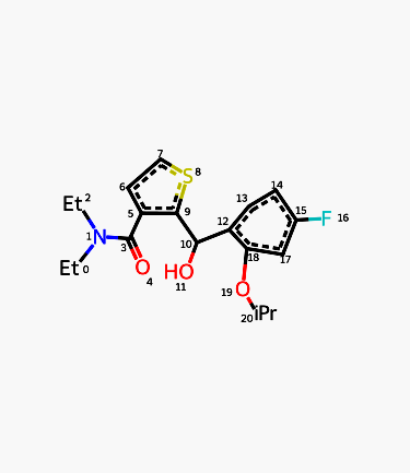 CCN(CC)C(=O)c1ccsc1C(O)c1ccc(F)cc1OC(C)C